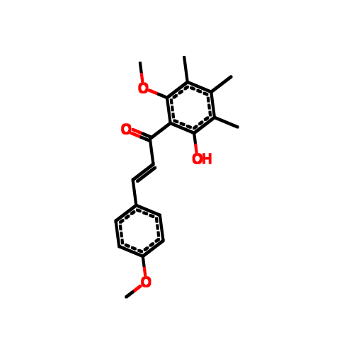 COc1ccc(/C=C/C(=O)c2c(O)c(C)c(C)c(C)c2OC)cc1